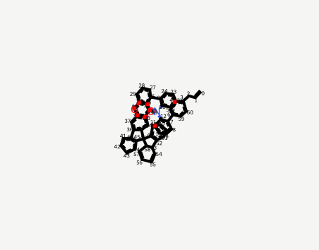 C=CCc1ccc(-c2ccccc2N(c2ccccc2)c2ccccc2-c2cccc3c2Oc2cc4c(cc2O3)-c2ccccc2C42c3ccccc3C3C=CC=CC32)cc1